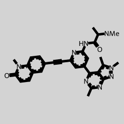 CNC(C)C(=O)Nc1cc(-c2nc(C)nc3nn(C)c(C)c23)cc(C#Cc2ccc3c(ccc(=O)n3C)c2)n1